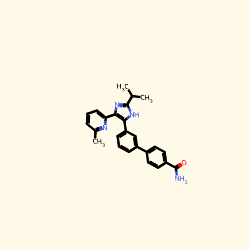 Cc1cccc(-c2nc(C(C)C)[nH]c2-c2cccc(-c3ccc(C(N)=O)cc3)c2)n1